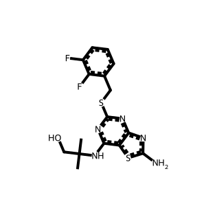 CC(C)(CO)Nc1nc(SCc2cccc(F)c2F)nc2nc(N)sc12